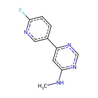 CNc1cc(-c2ccc(F)nc2)ncn1